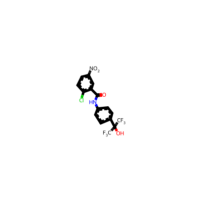 O=C(Nc1ccc(C(O)(C(F)(F)F)C(F)(F)F)cc1)c1cc([N+](=O)[O-])ccc1Cl